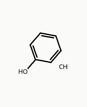 Oc1ccccc1.[CH]